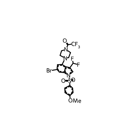 COc1ccc(S(=O)(=O)n2cc(C(F)F)c3c(N4CCN(C(=O)C(F)(F)F)CC4)cc(Br)cc32)cc1